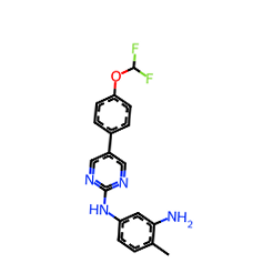 Cc1ccc(Nc2ncc(-c3ccc(OC(F)F)cc3)cn2)cc1N